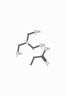 CCC(=O)O.OCP(CO)CO